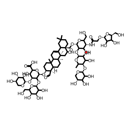 CC1O[C@@H](OC2C(O)[C@@H](NC(=O)CO[C@@H]3O[C@@H](CO)C(O)C3O)C(CO)O[C@H]2OC(=O)[C@]23CCC(C)(C)CC2C2=CCC4C5(C)CC[C@H](O[C@@H]6OC(C(=O)O)[C@@H](O)[C@H](O[C@@H]7OC[C@@H](O)[C@H](O)C7O)C6O[C@@H]6OC(CO)[C@H](O)[C@H](O)C6O)[C@](C)(C=O)[C@@H]5CC[C@]4(C)[C@]2(C)CC3O)C(O)C(O)[C@H]1O[C@@H]1OC[C@@H](O)C(O)C1O